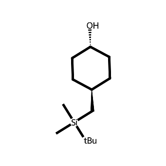 CC(C)(C)[Si](C)(C)C[C@H]1CC[C@H](O)CC1